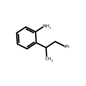 CC(C)CC(C)c1ccccc1N